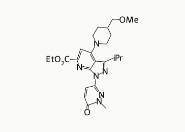 CCOC(=O)c1cc(N2CCC(COC)CC2)c2c(C(C)C)nn(-c3ccc(=O)n(C)n3)c2n1